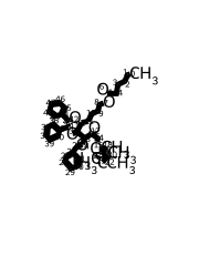 CCCCCC(=O)OCCCC1OC(CO[Si](C)(C)C(C)(C)C)C(OCc2ccccc2)C(OCc2ccccc2)C1OCc1ccccc1